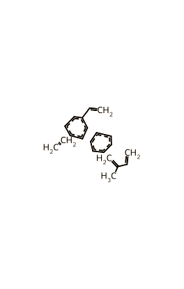 C=C.C=CC(=C)C.C=Cc1ccccc1.c1ccccc1